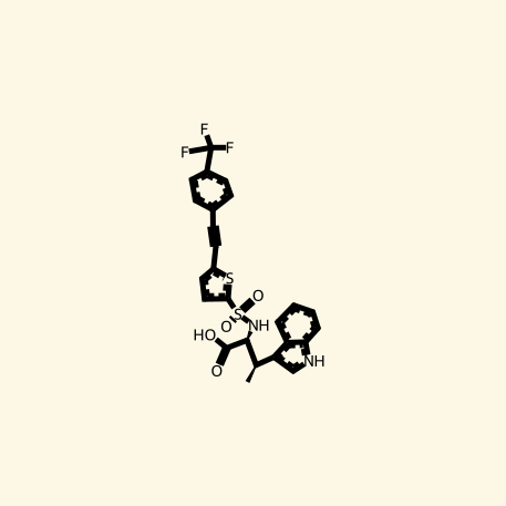 C[C@H](c1c[nH]c2ccccc12)[C@H](NS(=O)(=O)c1ccc(C#Cc2ccc(C(F)(F)F)cc2)s1)C(=O)O